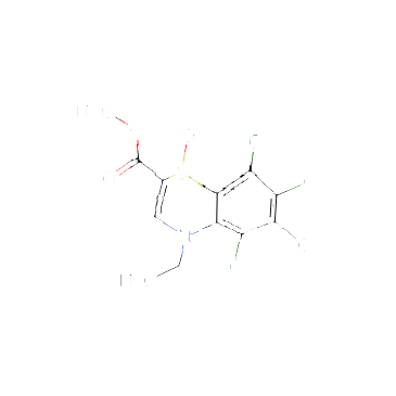 CCN1C=C(C(=O)OC)[S+]([O-])c2c(Cl)c(Cl)c(Cl)c(Cl)c21